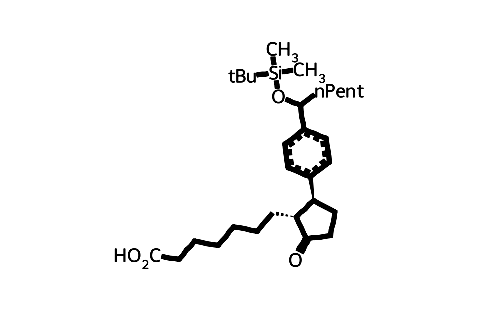 CCCCCC(O[Si](C)(C)C(C)(C)C)c1ccc([C@H]2CCC(=O)[C@@H]2CCCCCCC(=O)O)cc1